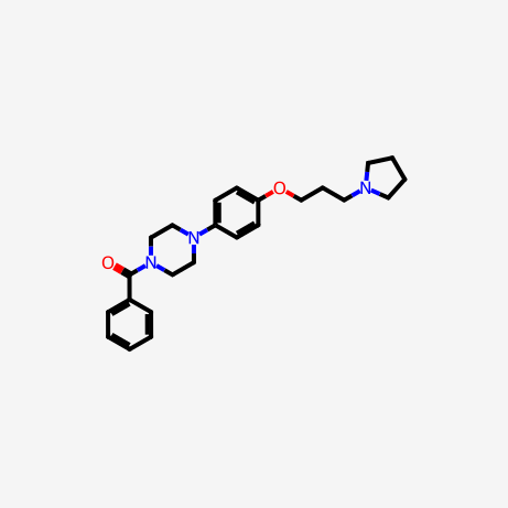 O=C(c1ccccc1)N1CCN(c2ccc(OCCCN3CCCC3)cc2)CC1